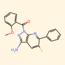 COc1ccccc1C(=O)n1nc(N)c2cc(F)c(-c3ccccc3)nc21